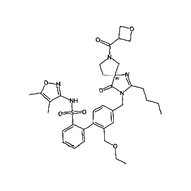 CCCCC1=N[C@@]2(CCN(C(=O)C3COC3)C2)C(=O)N1Cc1ccc(-c2ccccc2S(=O)(=O)Nc2noc(C)c2C)c(COCC)c1